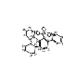 O=P(O)(O)c1c(-c2ccccc2)ccc(C2CCCCC2)c1C1CCCCC1